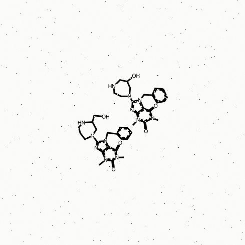 Cn1c(=O)c2c(nc(N3CCCNC(CO)C3)n2Cc2ccccc2)n(C)c1=O.Cn1c(=O)c2c(nc(N3CCNCC(O)C3)n2Cc2ccccc2)n(C)c1=O